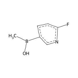 CB(O)c1ccc(F)nc1